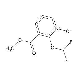 COC(=O)c1ccc[n+]([O-])c1OC(F)F